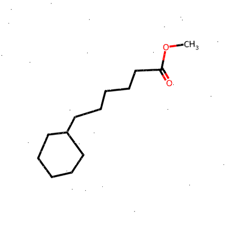 COC(=O)CCCCCC1CCCCC1